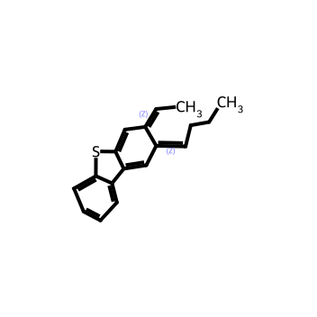 C/C=c1/cc2sc3ccccc3c2c/c1=C/CCC